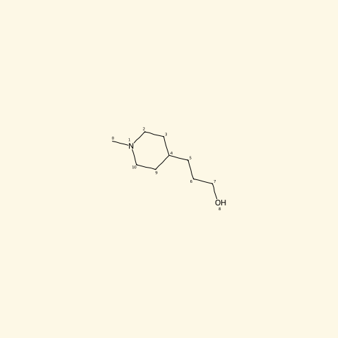 CN1CCC(CCCO)CC1